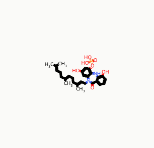 CC(C)=CCC/C(C)=C/CC/C(C)=C/CN1C(=O)c2cccc(O)c2Nc2c(OP(=O)(O)O)cc(O)cc21